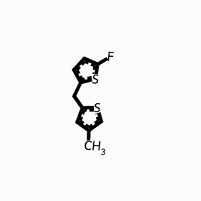 Cc1csc(Cc2ccc(F)s2)c1